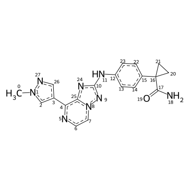 Cn1cc(-c2nccn3nc(Nc4ccc(C5(C(N)=O)CC5)cc4)nc23)cn1